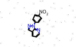 O=[N+]([O-])c1ccc(-n2ncc3cccnc32)cc1